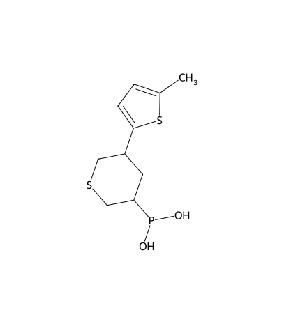 Cc1ccc(C2CSCC(P(O)O)C2)s1